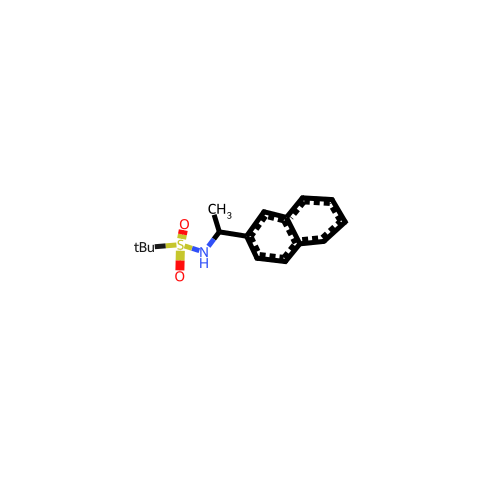 CC(NS(=O)(=O)C(C)(C)C)c1ccc2ccccc2c1